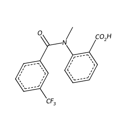 CN(C(=O)c1cccc(C(F)(F)F)c1)c1ccccc1C(=O)O